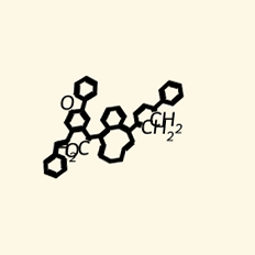 C=C(/C=C\C(=C)c1ccccc1)C1=c2\cccc\c2=C(C(=C)c2cc3c(cc2-c2cc4ccccc4o2)oc2ccccc23)\C=C\CC\C=C\1